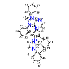 Cc1cc(C)c(-n2cc[n+]3c2-c2ccccc2C2CC=C(c4ccccc4N4c5nccnc5N(c5ccccc5)C4C)C23)c(C)c1